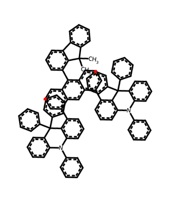 CC1(C)c2ccccc2-c2cccc(-c3c4cccc(-c5cccc6c5C(c5ccccc5)(c5ccccc5)c5ccccc5N6c5ccccc5)c4cc4c(-c5cccc6c5C(c5ccccc5)(c5ccccc5)c5ccccc5N6c5ccccc5)cccc34)c21